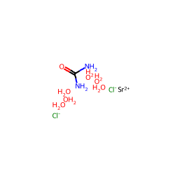 NC(N)=O.O.O.O.O.O.O.[Cl-].[Cl-].[Sr+2]